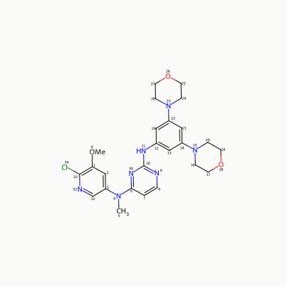 COc1cc(N(C)c2ccnc(Nc3cc(N4CCOCC4)cc(N4CCOCC4)c3)n2)cnc1Cl